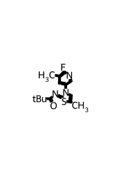 Cc1cn(-c2cnc(F)c(C)c2)c(=NC(=O)C(C)(C)C)s1